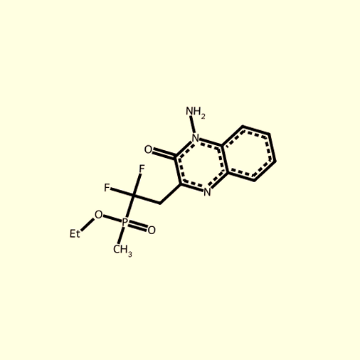 CCOP(C)(=O)C(F)(F)Cc1nc2ccccc2n(N)c1=O